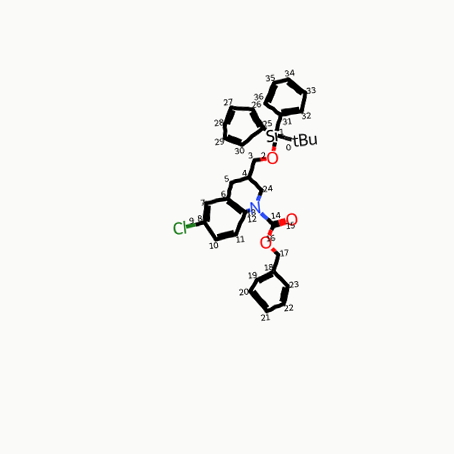 CC(C)(C)[Si](OCC1Cc2cc(Cl)ccc2N(C(=O)OCc2ccccc2)C1)(c1ccccc1)c1ccccc1